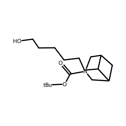 CC(C)(C)OC(=O)N1CC2CC(C1)C2CCCCCCO